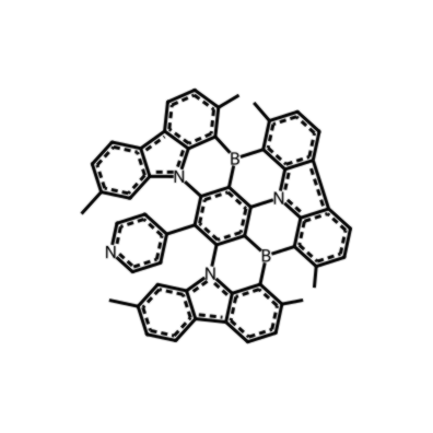 Cc1ccc2c3ccc(C)c4c3n(c2c1)-c1c2c3c5c(c1-c1ccncc1)-n1c6cc(C)ccc6c6ccc(C)c(c61)B5c1c(C)ccc5c6ccc(C)c(c6n-3c15)B24